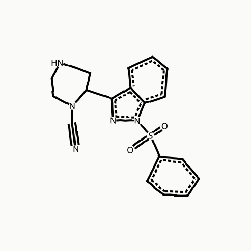 N#CN1CCNCC1c1nn(S(=O)(=O)c2ccccc2)c2ccccc12